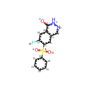 O=c1[nH]ncc2cc(S(=O)(=O)c3ccccc3)c(F)cc12